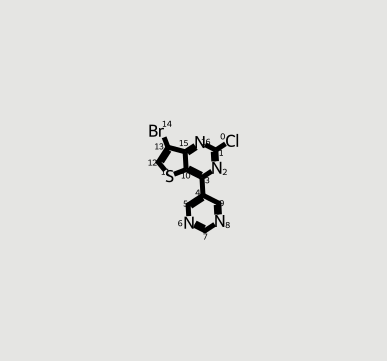 Clc1nc(-c2cncnc2)c2scc(Br)c2n1